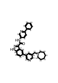 O=C(Nc1ccc(-c2ccccc2)nc1)c1n[nH]c2ccc(-c3cncc(CN4CCCCCC4)c3)cc12